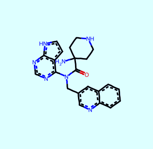 NC1(C(=O)N(Cc2cnc3ccccc3c2)c2ncnc3[nH]ccc23)CCNCC1